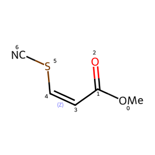 COC(=O)/C=C\SC#N